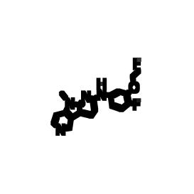 Cn1c2ccncc2c2ccc(Nc3ccc(F)c(OCCF)c3)nc21